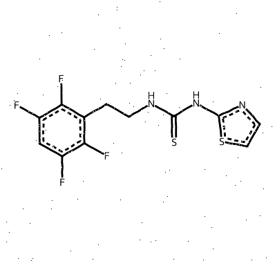 Fc1cc(F)c(F)c(CCNC(=S)Nc2nccs2)c1F